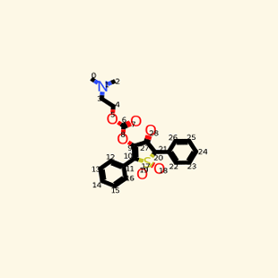 CN(C)CCOC(=O)OC1=C(c2ccccc2)S(=O)(=O)C(c2ccccc2)C1=O